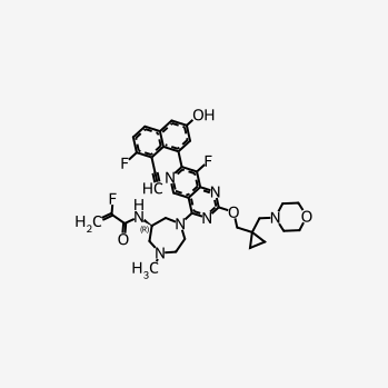 C#Cc1c(F)ccc2cc(O)cc(-c3ncc4c(N5CCN(C)C[C@@H](NC(=O)C(=C)F)C5)nc(OCC5(CN6CCOCC6)CC5)nc4c3F)c12